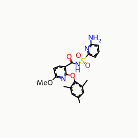 COc1ccc(C(=O)NS(=O)(=O)c2cccc(N)n2)c(Oc2c(C)cc(C)cc2C)n1